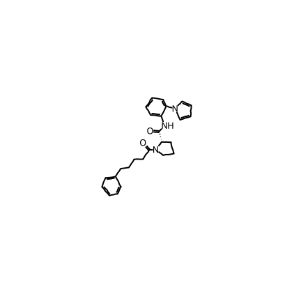 O=C(Nc1ccccc1-n1cccc1)[C@@H]1CCCN1C(=O)CCCCc1ccccc1